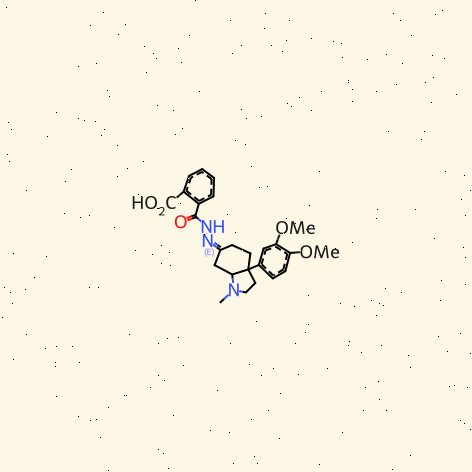 COc1ccc(C23CC/C(=N\NC(=O)c4ccccc4C(=O)O)CC2N(C)CC3)cc1OC